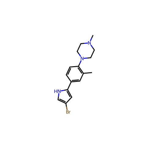 Cc1cc(-c2cc(Br)c[nH]2)ccc1N1CCN(C)CC1